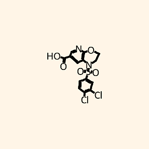 O=C(O)c1cnc2c(c1)N(S(=O)(=O)c1ccc(Cl)c(Cl)c1)CCO2